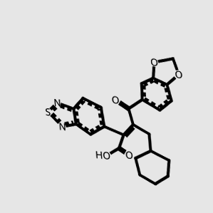 O=C(O)C(=C(CC1CCCCC1)C(=O)c1ccc2c(c1)OCO2)c1ccc2nsnc2c1